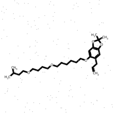 C=CCc1cc2c(cc1OCCCCCCOCCCCOCCC(C)C)OC(C)(C)O2